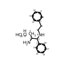 CC(N)C(NCCc1ccccc1)c1ccccc1.Cl.Cl